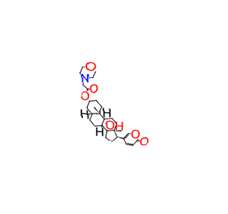 C[C@]12CC[C@H](OC(=O)CN3CCOCC3)C[C@H]1CC[C@@H]1[C@@H]2CC[C@]2(C)[C@@H](c3ccc(=O)oc3)CC[C@]12O